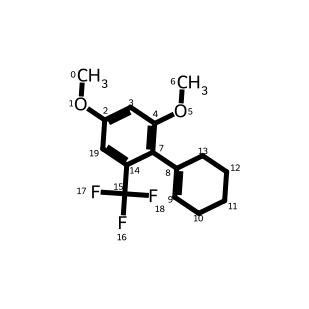 COc1cc(OC)c(C2=CCCCC2)c(C(F)(F)F)c1